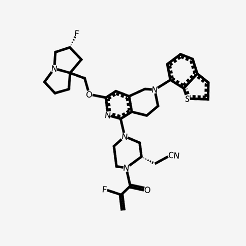 C=C(F)C(=O)N1CCN(c2nc(OCC34CCCN3C[C@H](F)C4)cc3c2CCN(c2cccc4ccsc24)C3)C[C@@H]1CC#N